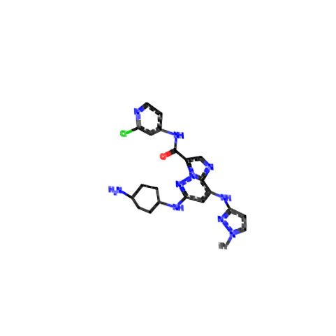 CC(C)n1ccc(Nc2cc(NC3CCC(N)CC3)nn3c(C(=O)Nc4ccnc(Cl)c4)cnc23)n1